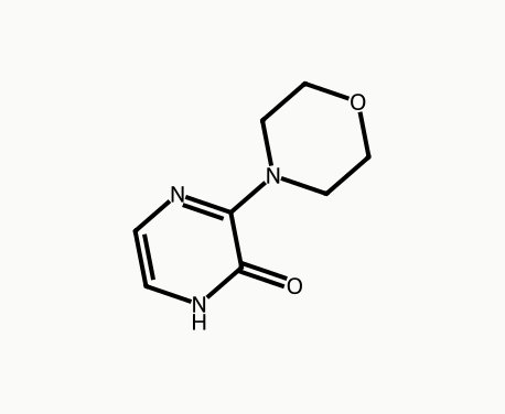 O=c1[nH]ccnc1N1CCOCC1